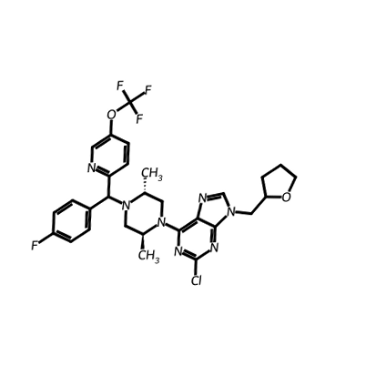 C[C@@H]1CN(c2nc(Cl)nc3c2ncn3CC2CCCO2)[C@@H](C)CN1C(c1ccc(F)cc1)c1ccc(OC(F)(F)F)cn1